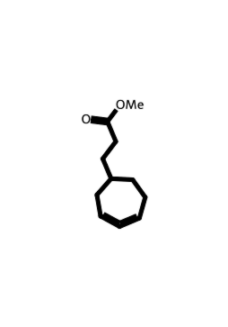 COC(=O)CCC1CC=C=CCC1